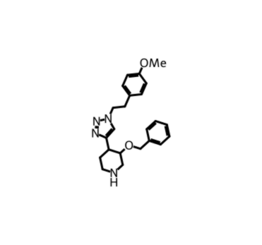 COc1ccc(CCn2cc(C3CCNCC3OCc3ccccc3)nn2)cc1